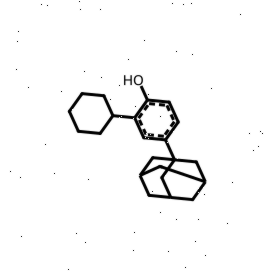 Oc1ccc(C23CC4CC(CC(C4)C2)C3)cc1C1CCCCC1